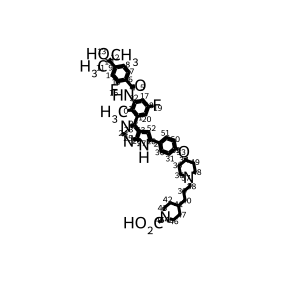 Cc1c(NC(=O)c2ccc(C(C)(C)O)cc2F)cc(F)cc1-c1ncnc2[nH]c(-c3ccc(OC4CCN(CCCC5CCN(C(=O)O)CC5)CC4)cc3)cc12